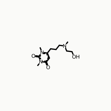 CN(CCO)CCCc1cc(=O)n(C)c(=O)n1C